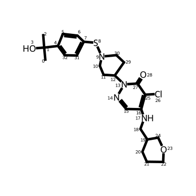 CC(C)(O)c1ccc(SN2CCC(n3ncc(NCC4CCCOC4)c(Cl)c3=O)CC2)cc1